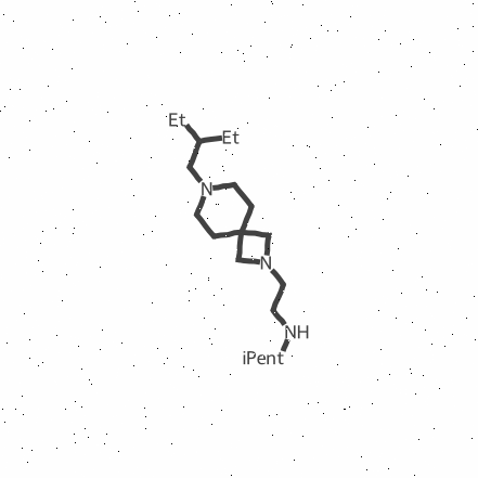 CCCC(C)NCCN1CC2(CCN(CC(CC)CC)CC2)C1